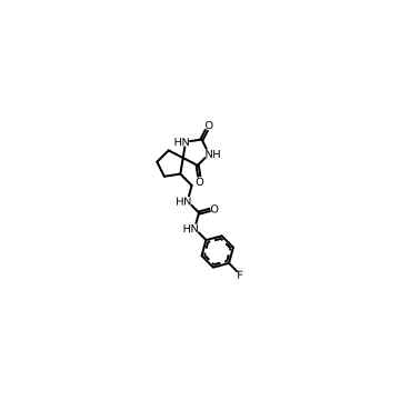 O=C(NCC1CCCC12NC(=O)NC2=O)Nc1ccc(F)cc1